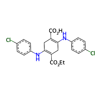 CCOC(=O)C1=C(Nc2ccc(Cl)cc2)CC(C(=O)O)=C(Nc2ccc(Cl)cc2)C1